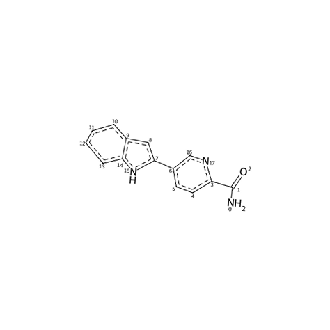 NC(=O)c1ccc(-c2cc3ccccc3[nH]2)cn1